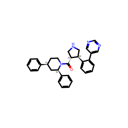 O=C([C@@H]1CNC[C@H]1c1ccccc1-c1cncnc1)N1CC[C@H](c2ccccc2)C[C@@H]1c1ccccc1